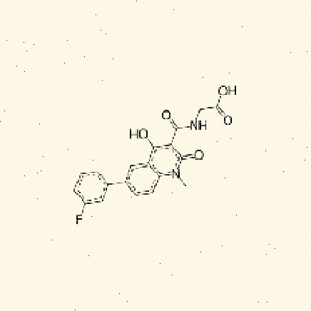 Cn1c(=O)c(C(=O)NCC(=O)O)c(O)c2cc(-c3cccc(F)c3)ccc21